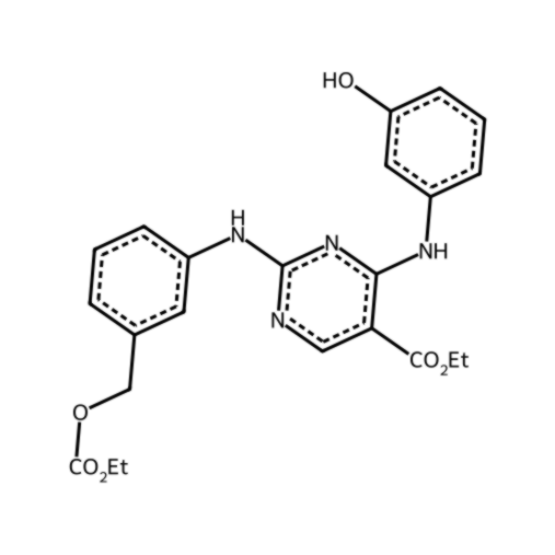 CCOC(=O)OCc1cccc(Nc2ncc(C(=O)OCC)c(Nc3cccc(O)c3)n2)c1